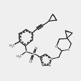 Cc1ccc(C#CC2CC2)cc1N(C)S(=O)(=O)c1cn(CC2OCC3(CC3)CO2)nn1